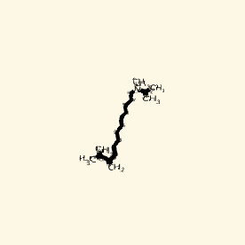 C=C(CCCCCCCCCCN(C)C(C)C)C(C)C